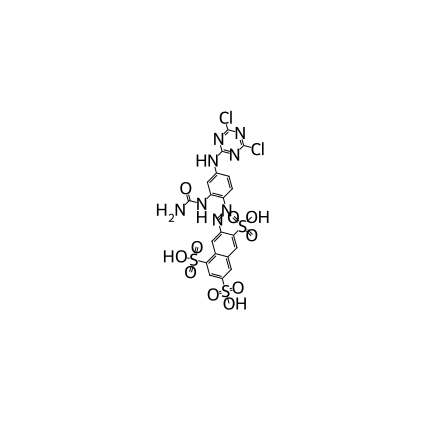 NC(=O)Nc1cc(Nc2nc(Cl)nc(Cl)n2)ccc1N=Nc1cc2c(S(=O)(=O)O)cc(S(=O)(=O)O)cc2cc1S(=O)(=O)O